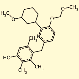 COCOc1ccc(Cc2c(C)cc(O)c(C)c2C)nc1C1CCCC(OC)C1